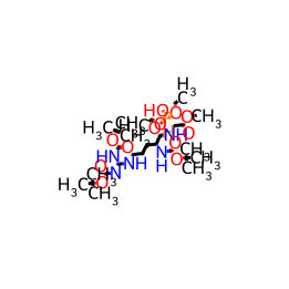 CCO[PH](O)(OCC)C(NC(=O)C(CCCN/C(=N/C(=O)OC(C)(C)C)NC(=O)OC(C)(C)C)NC(=O)OC(C)(C)C)C(=O)OC